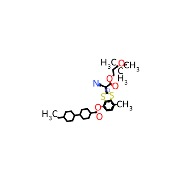 CCC1CCC(C2CCC(C(=O)Oc3ccc(C)c4c3S/C(=C(\C#N)C(=O)OCCC(C)(C)OC)S4)CC2)CC1